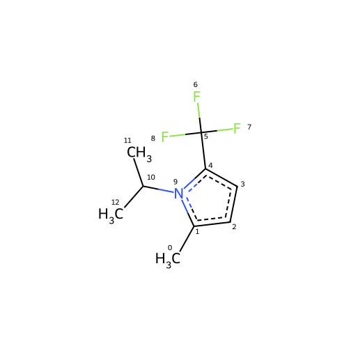 Cc1ccc(C(F)(F)F)n1C(C)C